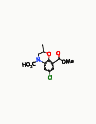 COC(=O)c1cc(Cl)cc2c1OC(C)CN2C(=O)O